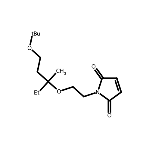 CCC(C)(CCOC(C)(C)C)OCCN1C(=O)C=CC1=O